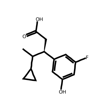 CC(C1CC1)[C@@H](CC(=O)O)c1cc(O)cc(F)c1